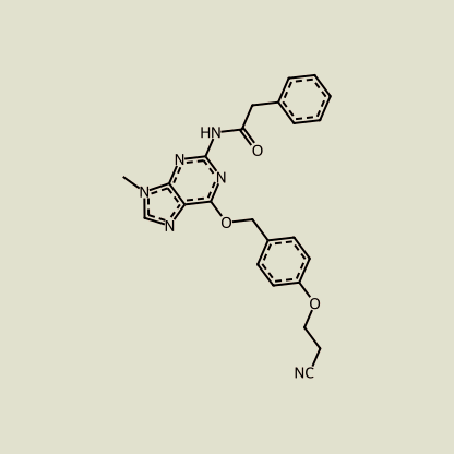 Cn1cnc2c(OCc3ccc(OCCC#N)cc3)nc(NC(=O)Cc3ccccc3)nc21